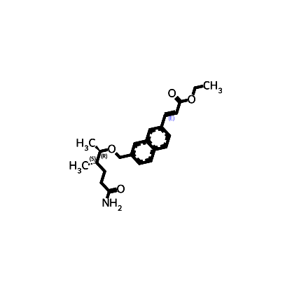 CCOC(=O)/C=C/c1ccc2ccc(CO[C@H](C)[C@@H](C)CCC(N)=O)cc2c1